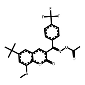 CSc1cc(C(C)(C)C)cc2cc(/C(=N/OC(C)=O)c3ccc(C(F)(F)F)cc3)c(=O)oc12